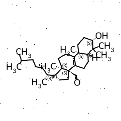 CC(C)CCC[C@@H](C)[C@H]1CC[C@@]2(C=O)C3=C(CC[C@]12C)[C@@]1(C)CC[C@H](O)C(C)(C)[C@@H]1CC3